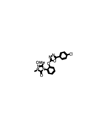 COc1nn(C)c(=O)n1-c1ccccc1Oc1nnc(-c2ccc(Cl)cc2)o1